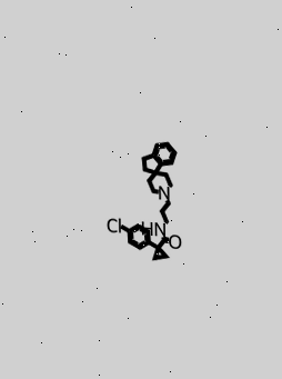 O=C(NCCCN1CCC2(CCc3ccccc32)CC1)C1(c2ccc(Cl)cc2)CC1